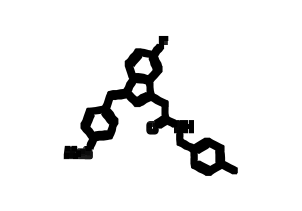 CSc1ccc(/C=C2\C=C(CC(=O)NCc3ccc(C)cc3)c3cc(F)ccc32)cc1